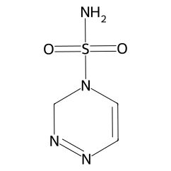 NS(=O)(=O)N1C=CN=NC1